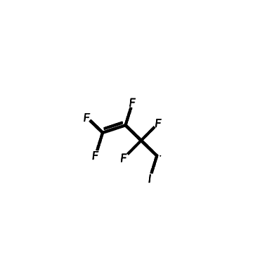 FC(F)=C(F)C(F)(F)[CH]I